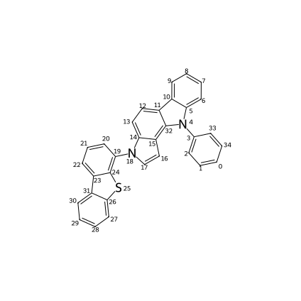 c1ccc(-n2c3ccccc3c3ccc4c(ccn4-c4cccc5c4sc4ccccc45)c32)cc1